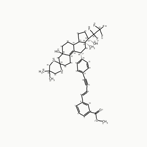 COC(=O)c1cccc(C=CC#Cc2ccc([C@H]3C[C@@]4(C)C(CC[C@@]4(O)C(F)(F)C(F)(F)F)C4CCC5(O)CC6(CCC5=C43)OCC(C)(C)CO6)cc2)c1